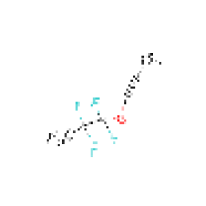 FC(F)(F)C#COC(F)(F)C(F)(F)C(F)(F)F